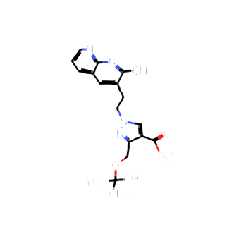 Cc1nc2ncccc2cc1CCn1cc(C(=O)O)c(COC(C)(C)C)n1